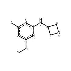 CCc1cc(C)nc(NC2COC2)n1